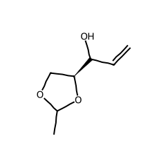 C=CC(O)[C@@H]1COC(C)O1